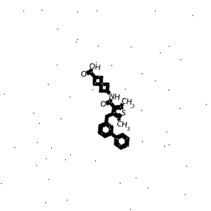 Cc1sc(C)c(C(=O)NC2CC3(C2)CC(C(=O)O)C3)c1Cc1cccc(-c2ccccc2)c1